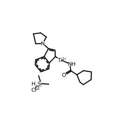 C[SiH2]C.O=C([NH][Ti+2][CH]1C=C(N2CCCC2)c2ccccc21)C1CCCCC1.[Cl-].[Cl-]